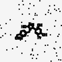 COCc1ccc(Cn2c(O)nnc2-c2cc(C(C)C)c(O)cc2O)cc1